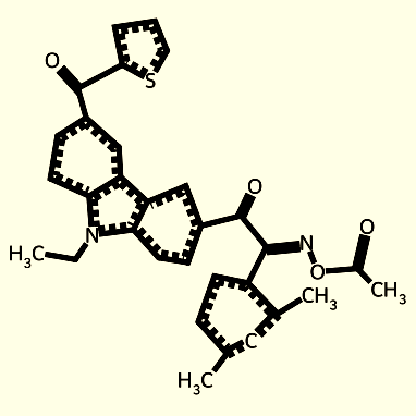 CCn1c2ccc(C(=O)/C(=N/OC(C)=O)c3ccc(C)cc3C)cc2c2cc(C(=O)c3cccs3)ccc21